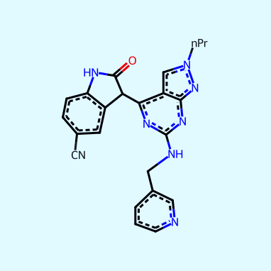 CCCn1cc2c(C3C(=O)Nc4ccc(C#N)cc43)nc(NCc3cccnc3)nc2n1